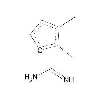 Cc1ccoc1C.N=CN